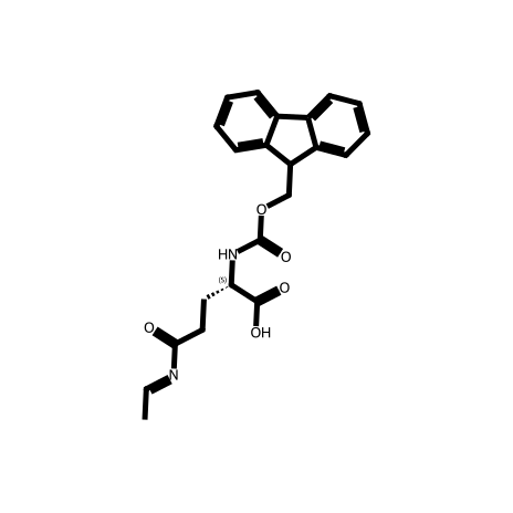 CC=NC(=O)CC[C@H](NC(=O)OCC1c2ccccc2-c2ccccc21)C(=O)O